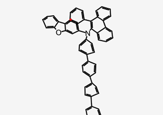 c1ccc(-c2ccc(-c3ccc(-c4ccc(N(c5ccc6c(c5)oc5ccccc56)c5c(-c6ccccc6)c6ccccc6c6ccccc56)cc4)cc3)cc2)cc1